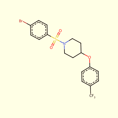 O=S(=O)(c1ccc(Br)cc1)N1CCC(Oc2ccc(C(F)(F)F)cc2)CC1